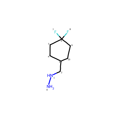 NNCC1CCC(F)(F)CC1